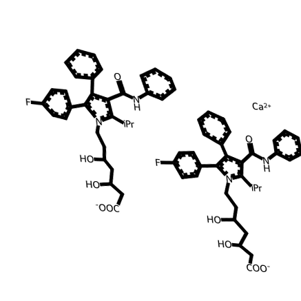 CC(C)c1c(C(=O)Nc2ccccc2)c(-c2ccccc2)c(-c2ccc(F)cc2)n1CCC(O)CC(O)CC(=O)[O-].CC(C)c1c(C(=O)Nc2ccccc2)c(-c2ccccc2)c(-c2ccc(F)cc2)n1CCC(O)CC(O)CC(=O)[O-].[Ca+2]